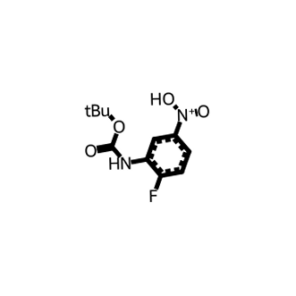 CC(C)(C)OC(=O)Nc1cc([N+](=O)O)ccc1F